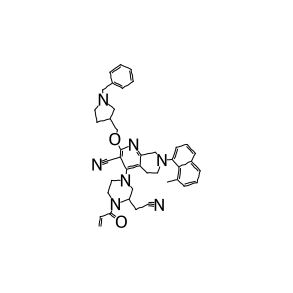 C=CC(=O)N1CCN(c2c(C#N)c(OCC3CCN(Cc4ccccc4)C3)nc3c2CCN(c2cccc4cccc(C)c24)C3)CC1CC#N